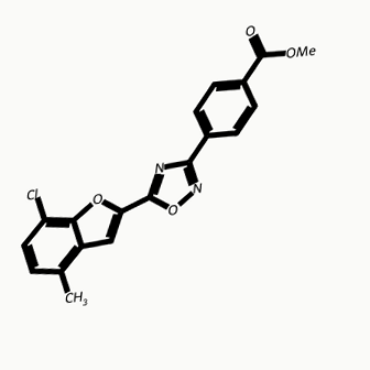 COC(=O)c1ccc(-c2noc(-c3cc4c(C)ccc(Cl)c4o3)n2)cc1